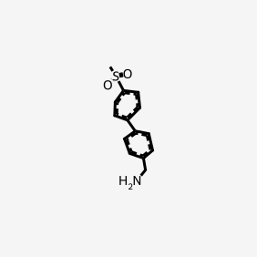 CS(=O)(=O)c1ccc(-c2ccc(CN)cc2)cc1